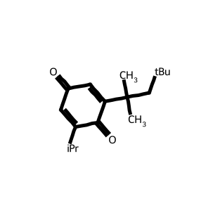 CC(C)C1=CC(=O)C=C(C(C)(C)CC(C)(C)C)C1=O